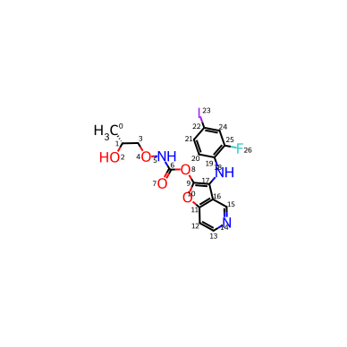 C[C@@H](O)CONC(=O)Oc1oc2ccncc2c1Nc1ccc(I)cc1F